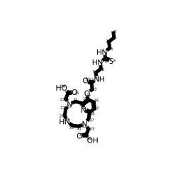 CCCCNC(=S)NCCNC(=O)COc1ccc2nc1CN(CC(=O)O)CCNCCN(CC(=O)O)C2